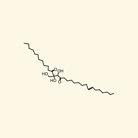 CCCCCCC=CCCCCCCCC(=O)C(O)C(O)(CO)C(=O)CCCCCCCCCCC